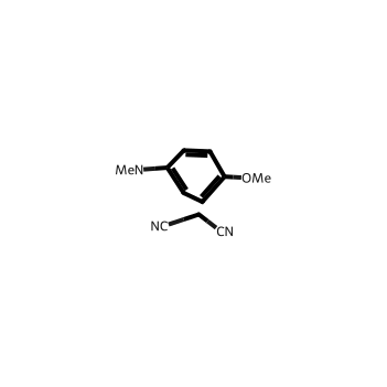 CNc1ccc(OC)cc1.N#CCC#N